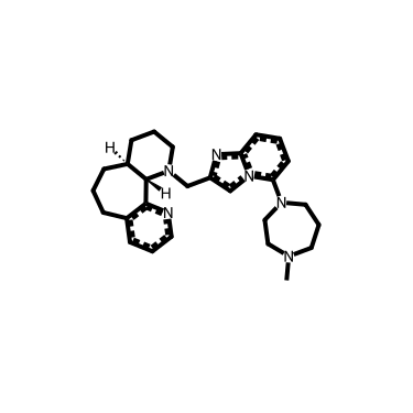 CN1CCCN(c2cccc3nc(CN4CCC[C@@H]5CCCc6cccnc6[C@H]54)cn23)CC1